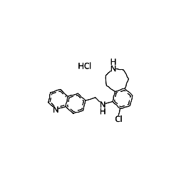 Cl.Clc1ccc2c(c1NCc1ccc3ncccc3c1)CCNCC2